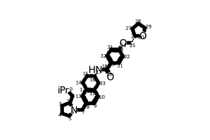 CC(C)CC1CCCN1Cc1ccc2c(c1)CC[C@H](NC(=O)c1ccc(OC[C@@H]3CCCO3)cc1)C2